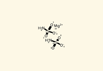 NS(=O)(=O)[O-].NS(=O)(=O)[O-].[Mg+2]